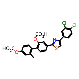 Cc1cc(OC(=O)O)ccc1-c1ccc(-c2nc(-c3ccc(Cl)c(Cl)c3)cs2)cc1OC(=O)O